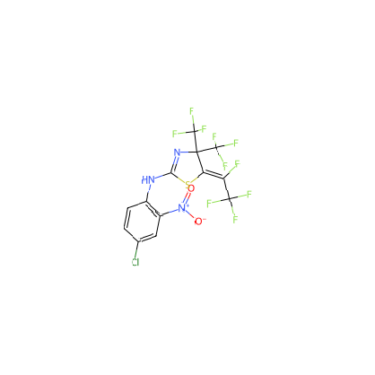 O=[N+]([O-])c1cc(Cl)ccc1NC1=NC(C(F)(F)F)(C(F)(F)F)/C(=C(\F)C(F)(F)F)S1